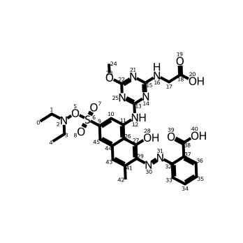 CCN(CC)OS(=O)(=O)c1cc(Nc2nc(NCC(=O)O)nc(OC)n2)c2c(O)c(N=Nc3ccccc3C(=O)O)c(C)cc2c1